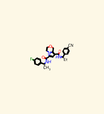 CC[C@@H](NC(=O)c1cc(C(=O)N[C@H](C)c2ccc(F)cc2)n2c1COCC2)c1ccc(C#N)cc1